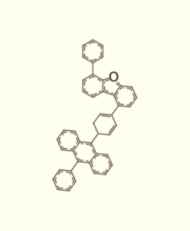 C1=CC(c2c3ccccc3c(-c3ccccc3)c3ccccc23)CC=C1c1cccc2oc3c(-c4ccccc4)cccc3c12